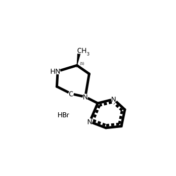 Br.C[C@H]1CN(c2ncccn2)CCN1